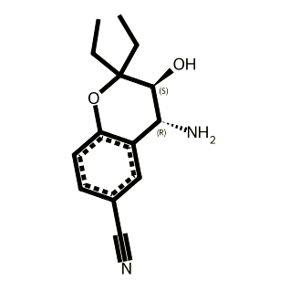 CCC1(CC)Oc2ccc(C#N)cc2[C@@H](N)[C@@H]1O